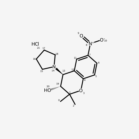 CC1(C)Oc2ccc([N+](=O)[O-])cc2[C@H](N2CCCC2)[C@H]1O.Cl